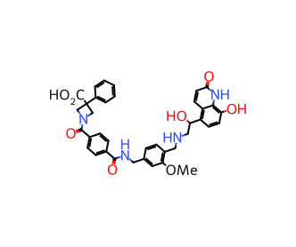 COc1cc(CNC(=O)c2ccc(C(=O)N3CC(C(=O)O)(c4ccccc4)C3)cc2)ccc1CNCC(O)c1ccc(O)c2[nH]c(=O)ccc12